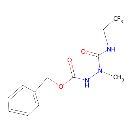 CN(NC(=O)OCc1ccccc1)C(=O)NCC(F)(F)F